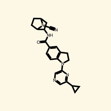 N#CN1C2CCC1C(NC(=O)c1ccc3c(c1)CCN3c1cncc(C3CC3)n1)C2